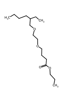 CCCCC(CC)COCCOCCCC(=O)OCCC